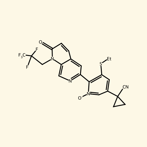 CCSc1cc(C2(C#N)CC2)c[n+]([O-])c1-c1cc2ccc(=O)n(CC(F)(F)C(F)(F)F)c2cn1